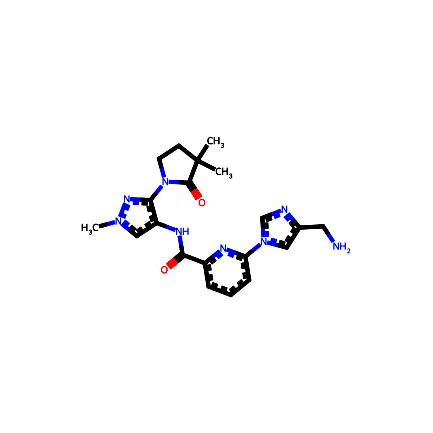 Cn1cc(NC(=O)c2cccc(-n3cnc(CN)c3)n2)c(N2CCC(C)(C)C2=O)n1